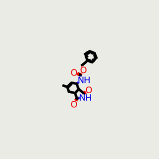 CC1=CC(NC(=O)OCc2ccccc2)C2C(=O)NC(=O)C2C1